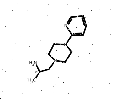 C[C@@H](N)CN1CCN(c2ccccn2)CC1